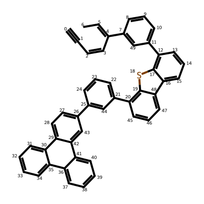 C#C/C=C\C(=C/C)c1cccc(-c2cccc3c2sc2c(-c4cccc(-c5ccc6c7ccccc7c7ccccc7c6c5)c4)cccc23)c1